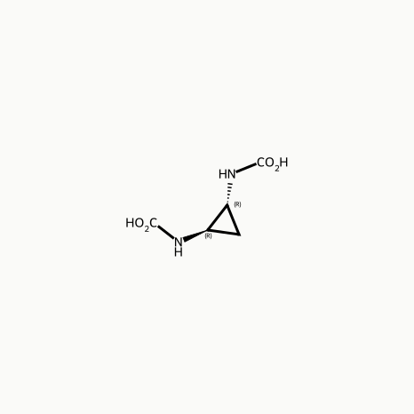 O=C(O)N[C@@H]1C[C@H]1NC(=O)O